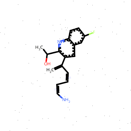 C=C(/C=C\C=C/N)c1cc2cc(F)ccc2nc1C(C)O